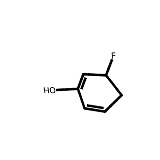 OC1=CC(F)CC=C1